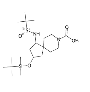 CC(C)(C)[S@@+]([O-])NC1CC(O[Si](C)(C)C(C)(C)C)CC12CCN(C(=O)O)CC2